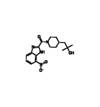 CC(C)(O)CC1CCN(C(=O)c2nc3cccc([N+](=O)[O-])c3[nH]2)CC1